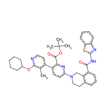 Cc1c(-c2ccc(N3CCc4cccc(C(=O)Nc5nc6ccccc6s5)c4C3)nc2C(=O)OC(C)(C)C)ccnc1OC1CCCCC1